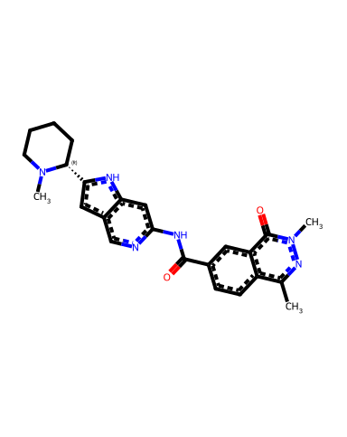 Cc1nn(C)c(=O)c2cc(C(=O)Nc3cc4[nH]c([C@H]5CCCCN5C)cc4cn3)ccc12